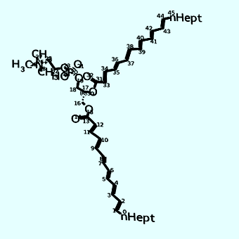 CCCCCCCC=CC=CC=CC=CC=CC=CC(=O)OC[C@H](COP(=O)(O)OCC[N+](C)(C)C)OC(=O)C=CC=CC=CC=CC=CC=CCCCCCCC